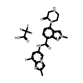 Cc1cn2cc(NC(=O)c3ccc(N4CCNCC4=O)c4cn(C)nc34)cc(F)c2n1.O=C(O)C(F)(F)F